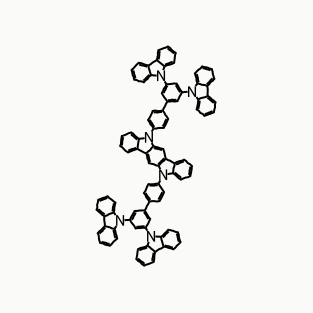 c1ccc2c(c1)c1ccccc1n2-c1cc(-c2ccc(-n3c4ccccc4c4cc5c(cc43)c3ccccc3n5-c3ccc(-c4cc(-n5c6ccccc6c6ccccc65)cc(-n5c6ccccc6c6ccccc65)c4)cc3)cc2)cc(-n2c3ccccc3c3ccccc32)c1